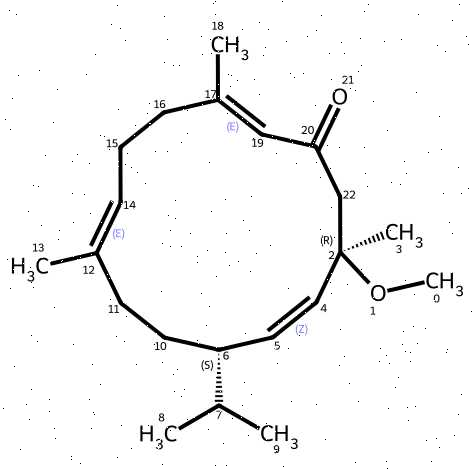 CO[C@@]1(C)/C=C\[C@H](C(C)C)CC/C(C)=C/CC/C(C)=C/C(=O)C1